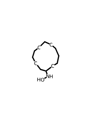 ONC1CCCCCCCCCCC1